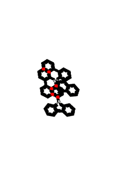 c1ccc(-c2ccccc2N(c2ccc(-n3c4ccccc4c4ccccc43)cc2)c2ccccc2-c2cccc3oc4c5ccccc5ccc4c23)cc1